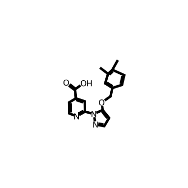 Cc1ccc(COc2ccnn2-c2cc(C(=O)O)ccn2)cc1C